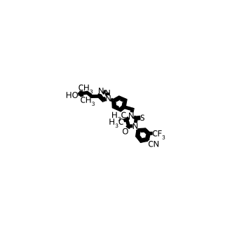 CC(C)(O)CCc1cn(-c2ccc(CN3C(=S)N(c4ccc(C#N)c(C(F)(F)F)c4)C(=O)C3(C)C)cc2)nn1